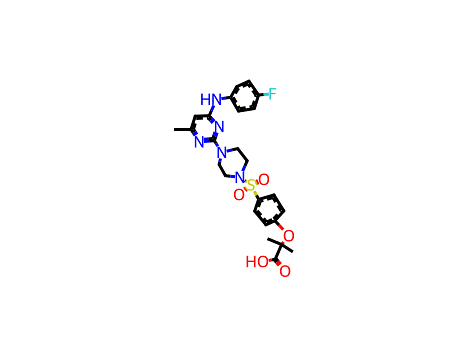 Cc1cc(Nc2ccc(F)cc2)nc(N2CCN(S(=O)(=O)c3ccc(OC(C)(C)C(=O)O)cc3)CC2)n1